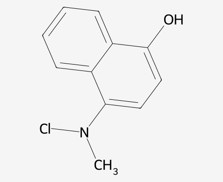 CN(Cl)c1ccc(O)c2ccccc12